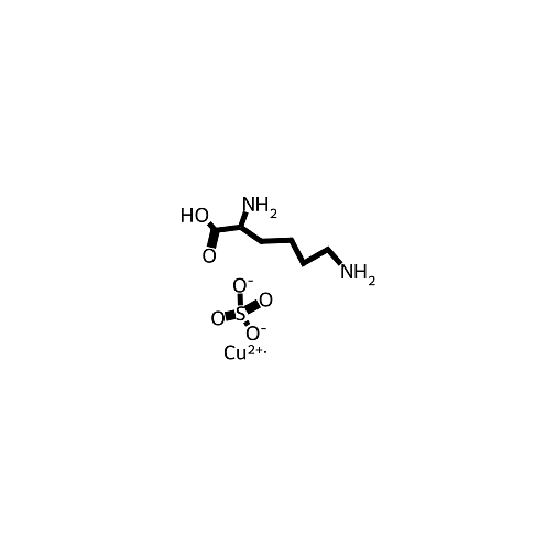 NCCCCC(N)C(=O)O.O=S(=O)([O-])[O-].[Cu+2]